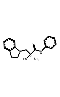 C[C@](O)(CN1CCc2ccccc21)C(=O)Nc1ccccc1